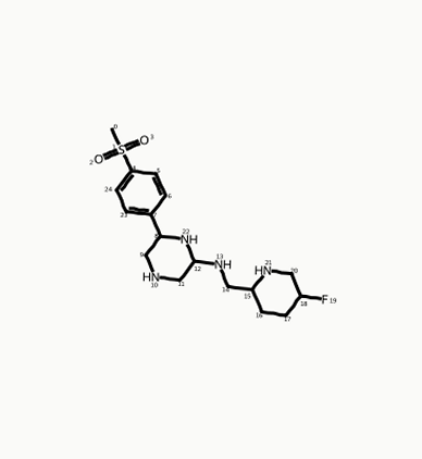 CS(=O)(=O)c1ccc(C2CNCC(NCC3CCC(F)CN3)N2)cc1